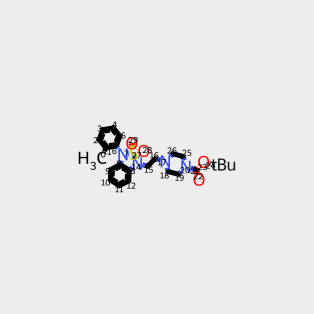 Cc1ccccc1N1c2ccccc2N(CCN2CCN(C(=O)OC(C)(C)C)CC2)S1(=O)=O